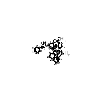 C[C@H](Oc1cc(-n2cc(-c3cccnc3)nn2)nc(-c2noc3c2CCC[C@@]32CCCc3sc(N)c(C#N)c32)n1)[C@@H]1CCCN1C